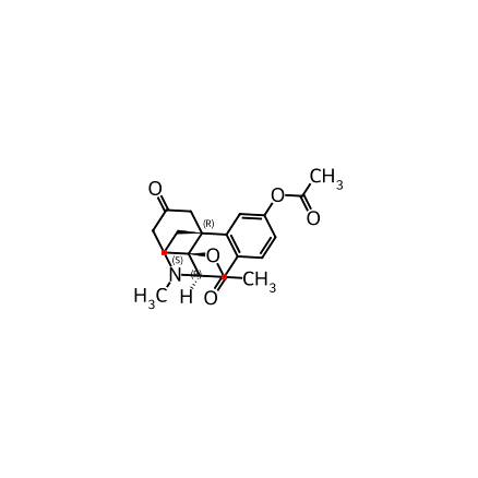 CC(=O)Oc1ccc2c(c1)[C@]13CCN(C)[C@H](C2)[C@]1(OC(C)=O)CCC(=O)C3